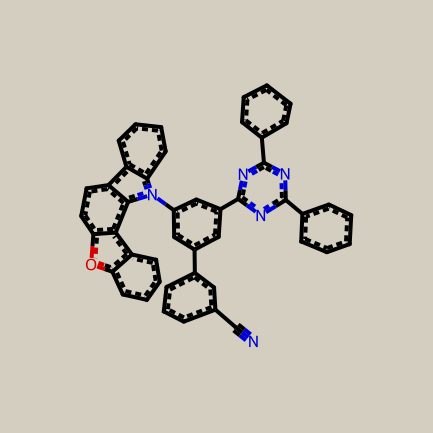 N#Cc1cccc(-c2cc(-c3nc(-c4ccccc4)nc(-c4ccccc4)n3)cc(-n3c4ccccc4c4ccc5oc6ccccc6c5c43)c2)c1